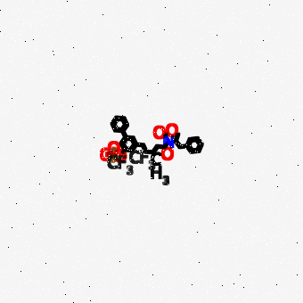 CC(CCc1cc(-c2ccccc2)cc(OS(=O)(=O)C(F)(F)F)c1C(F)(F)F)CC(=O)N1C(=O)OCC1Cc1ccccc1